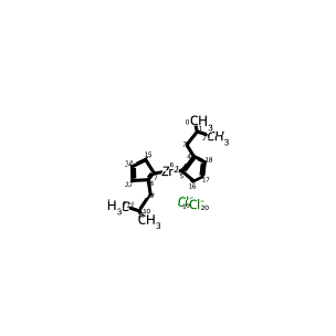 CC(C)CC1=[C]([Zr+2][C]2=C(CC(C)C)C=CC2)CC=C1.[Cl-].[Cl-]